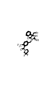 CC(C)CC1(c2ccccc2)NC(=N)N(Cc2ccc(C(F)(F)F)c(C(=O)N3CCC(F)(F)C3)c2)C1=O